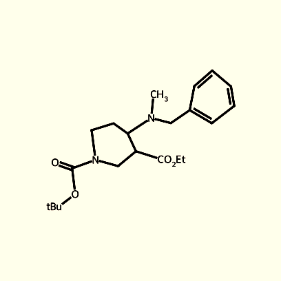 CCOC(=O)C1CN(C(=O)OC(C)(C)C)CCC1N(C)Cc1ccccc1